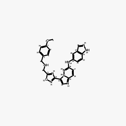 COc1ccc(CNCc2nc(-c3cnc4ccc(Nc5ccc6[nH]ncc6c5)nn34)no2)cc1